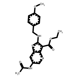 CCOC(=O)c1c(NCc2ccc(OC)cc2)sc2cc(NC(C)=O)cnc12